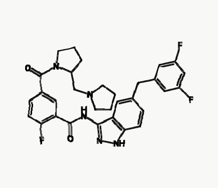 O=C(Nc1n[nH]c2ccc(Cc3cc(F)cc(F)c3)cc12)c1cc(C(=O)N2CCCC2CN2CCCC2)ccc1F